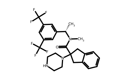 C[C@@H](c1cc(C(F)(F)F)cc(C(F)(F)F)c1)N(C)C(=O)C1(N2CCNCC2)Cc2ccccc2C1